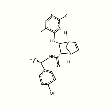 C[C@@H](NC(=O)[C@@H]1[C@H](Nc2nc(Cl)ncc2F)[C@H]2C=C[C@@H]1C2)c1ccc(O)cc1